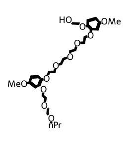 CCCOCCOCCOc1cc(OC)ccc1OCCOCCOCCOCCOc1cc(OC)ccc1OCCO